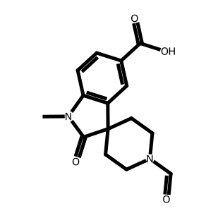 CN1C(=O)C2(CCN(C=O)CC2)c2cc(C(=O)O)ccc21